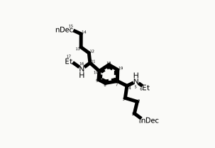 CCCCCCCCCCCCCC(NCC)c1ccc(C(CCCCCCCCCCCCC)NCC)cc1